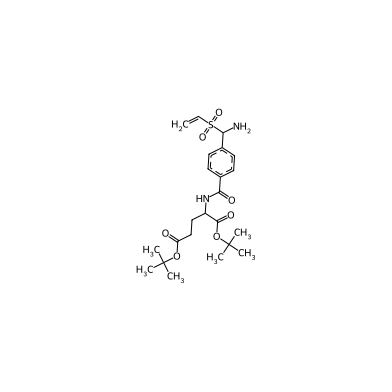 C=CS(=O)(=O)C(N)c1ccc(C(=O)NC(CCC(=O)OC(C)(C)C)C(=O)OC(C)(C)C)cc1